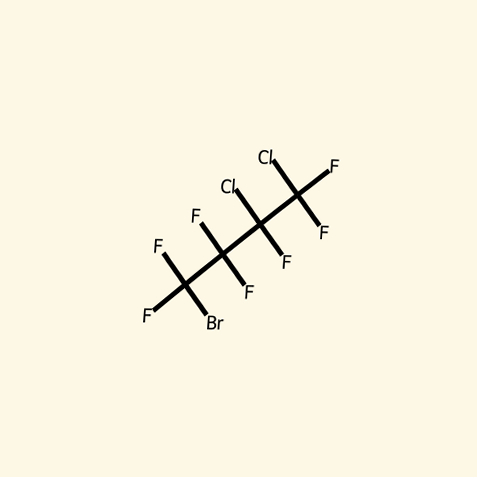 FC(F)(Cl)C(F)(Cl)C(F)(F)C(F)(F)Br